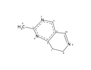 Cc1ncc2c(n1)CCN=C2